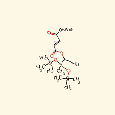 CCC(OC(=O)/C=C/C(=O)OC)[Si](C)(O[Si](C)(C)C)O[Si](C)(C)C